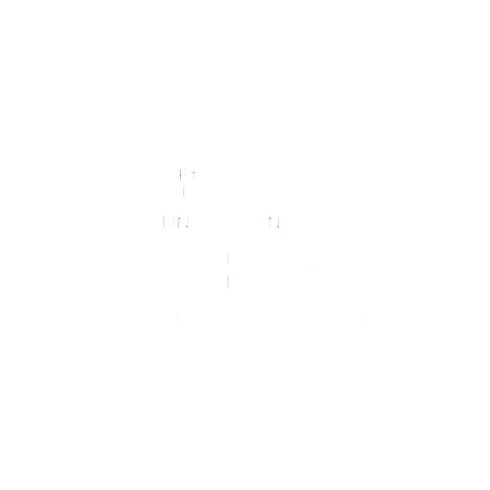 CCNc1ncc(F)cc1F